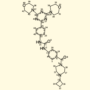 O=C(Nc1ccc(C(=O)N2CCN(C3CCC3)CC2)cc1)Nc1ccc(-c2nc(N3CCOCC3)nc(N3CCOCC3)n2)cc1